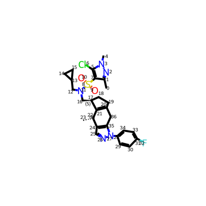 Cc1nn(C)c(Cl)c1S(=O)(=O)N(CC1CC1)C[C@H]1CCC2=C1[C@@H](C)c1cnn(-c3ccc(F)cc3)c1C2